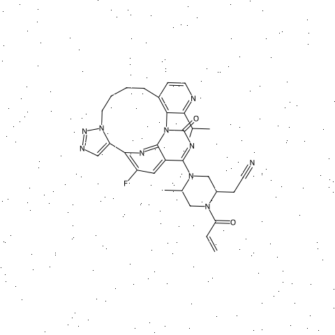 C=CC(=O)N1CC(C)N(c2nc(=O)n3c4nc(c(F)cc24)-c2cnnn2CCCCc2ccnc(C(C)C)c2-3)CC1CC#N